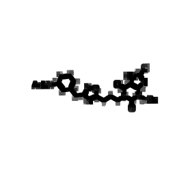 CCCCn1c(=O)n(CCCc2nc(Cc3cccc(NC(C)=O)c3)no2)c(=O)c2[nH]c(Cl)nc21